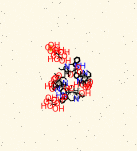 CCC1=C[C@@H]2C[N@](C1)Cc1c([nH]c3ccccc13)[C@@](C(=O)OC)(c1cc3c(cc1OC)N(C)[C@H]1[C@@](O)(C(=O)OC)[C@H](OC(C)=O)[C@]4(CC)C=CCN5CC[C@]31[C@@H]54)C2.CC[C@]1(O)C[C@H]2C[N@](CCc3c([nH]c4ccccc34)[C@@](C(=O)OC)(c3cc4c(cc3OC)N(C=O)[C@H]3[C@@](O)(C(=O)OC)[C@H](OC(C)=O)[C@]5(CC)C=CCN6CC[C@]43[C@@H]65)C2)C1.O=C(O)C(O)C(O)C(=O)O.O=C(O)C(O)C(O)C(=O)O.O=S(=O)(O)O